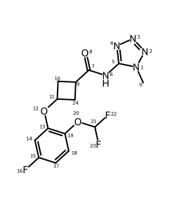 Cn1nnnc1NC(=O)C1CC(Oc2cc(F)ccc2OC(F)F)C1